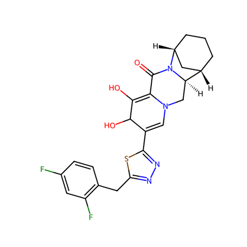 O=C1C2=C(O)C(O)C(c3nnc(Cc4ccc(F)cc4F)s3)=CN2C[C@@H]2[C@H]3CCC[C@H](C3)N12